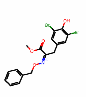 COC(=O)/C(Cc1cc(Br)c(O)c(Br)c1)=N\OCc1ccccc1